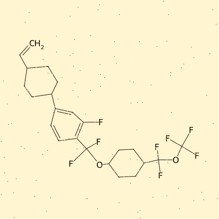 C=CC1CCC(c2ccc(C(F)(F)OC3CCC(C(F)(F)OC(F)(F)F)CC3)c(F)c2)CC1